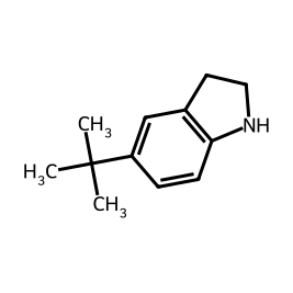 CC(C)(C)c1ccc2c(c1)CCN2